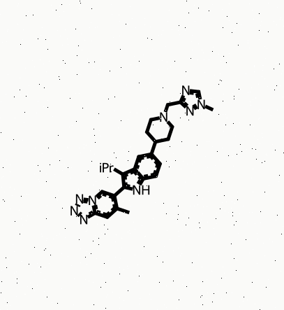 Cc1cc2nnnn2cc1-c1[nH]c2ccc(C3CCN(Cc4ncn(C)n4)CC3)cc2c1C(C)C